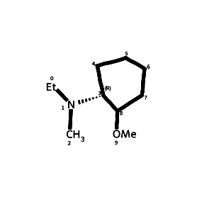 CCN(C)[C@@H]1CCCCC1OC